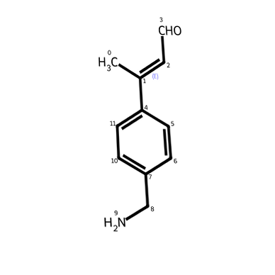 C/C(=C\C=O)c1ccc(CN)cc1